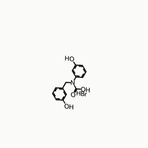 Br.O=C(O)N(Cc1cccc(O)c1)c1cccc(O)c1